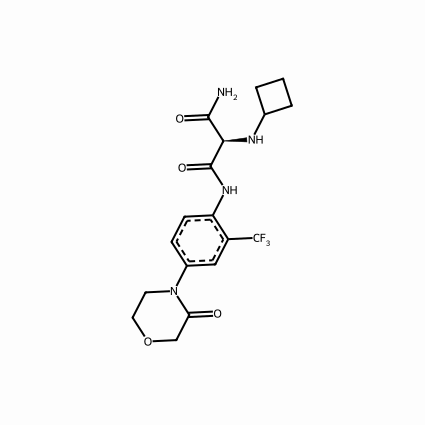 NC(=O)[C@@H](NC1CCC1)C(=O)Nc1ccc(N2CCOCC2=O)cc1C(F)(F)F